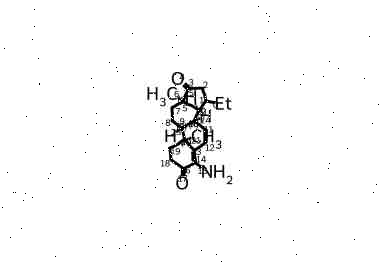 CCC1CC(=O)[C@@]2(C)CC[C@@H]3[C@@H](CCC4=C(N)C(=O)CC[C@@]43C)[C@H]12